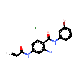 C=CC(=O)Nc1ccc(C(=O)Nc2cccc(Br)c2)c(N)c1.Cl